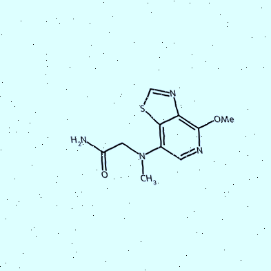 COc1ncc(N(C)CC(N)=O)c2scnc12